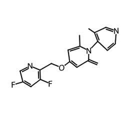 C=C1C=C(OCc2ncc(F)cc2F)C=C(C)N1c1ccncc1C